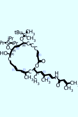 CC(C)=CC(=O)N/C=C/C(C)=C/[C@H](C)[C@@H]1C/C(C)=C/C=C/CC[C@@H](O)[C@H](O[Si](C(C)C)(C(C)C)C(C)C)/C=C/[C@H](O[Si](C)(C)C(C)(C)C)CCC/C=C/C(=O)O1